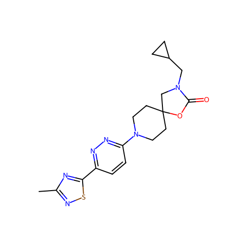 Cc1nsc(-c2ccc(N3CCC4(CC3)CN(CC3CC3)C(=O)O4)nn2)n1